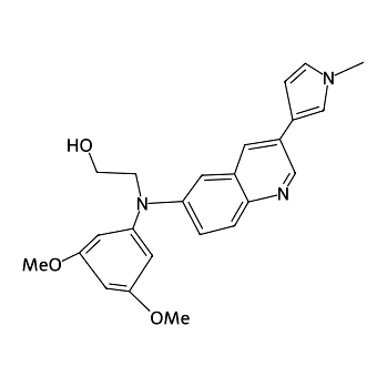 COc1cc(OC)cc(N(CCO)c2ccc3ncc(-c4ccn(C)c4)cc3c2)c1